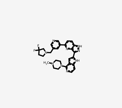 CN1CCN(c2nccc3[nH]c(-c4n[nH]c5ccc(-c6cncc(CN7CCC(F)(F)C7)c6)nc45)cc23)CC1